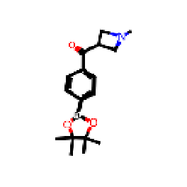 CN1CC(C(=O)c2ccc(B3OC(C)(C)C(C)(C)O3)cc2)C1